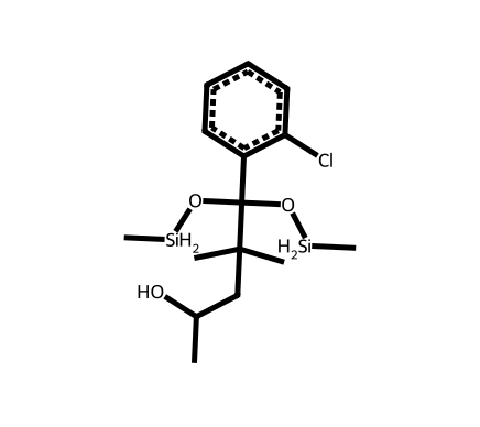 C[SiH2]OC(O[SiH2]C)(c1ccccc1Cl)C(C)(C)CC(C)O